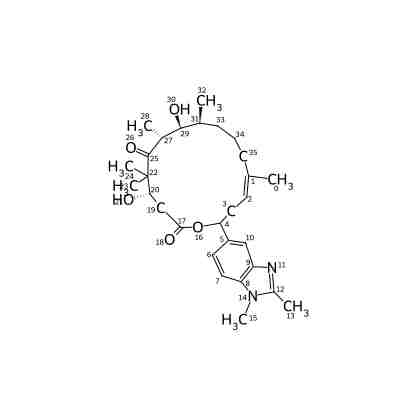 C/C1=C/CC(c2ccc3c(c2)nc(C)n3C)OC(=O)C[C@H](O)C(C)(C)C(=O)[C@H](C)[C@@H](O)[C@@H](C)CCC1